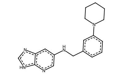 c1cc(CNc2cnc3[nH]cnc3c2)cc(N2CCCCC2)c1